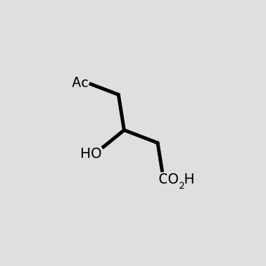 CC(=O)CC(O)CC(=O)O